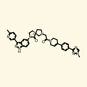 Cc1ccc(-c2n[nH]c3ccc(N4CC[C@]5(CCN(CC(=O)N6CC=C(c7ccc(-c8ncn(C)n8)cc7)CC6)C5)C4=O)cc23)cn1